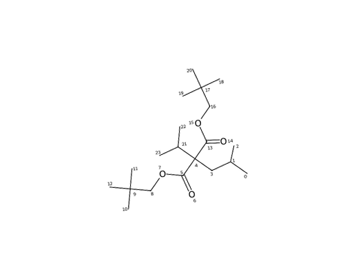 CC(C)CC(C(=O)OCC(C)(C)C)(C(=O)OCC(C)(C)C)C(C)C